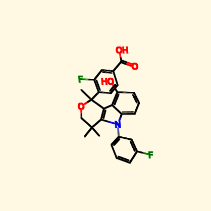 CC1(C)COC(C)(c2ccc(C(=O)O)cc2F)c2c1n(-c1cccc(F)c1)c1cccc(O)c21